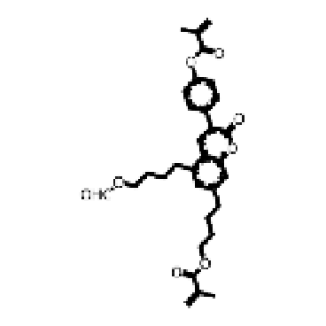 C=C(C)C(=O)OCCCCc1cc(CCCCOC=O)c2cc(-c3ccc(OC(=O)C(=C)C)cc3)c(=O)oc2c1